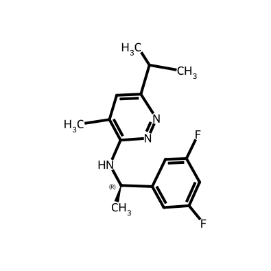 Cc1cc(C(C)C)nnc1N[C@H](C)c1cc(F)cc(F)c1